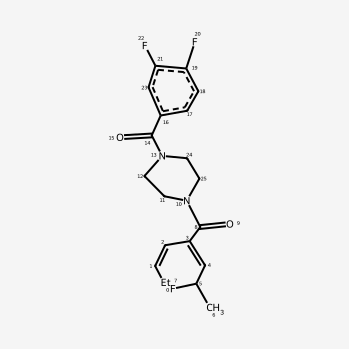 CC/C=C\C(=C/C(C)F)C(=O)N1CCN(C(=O)c2ccc(F)c(F)c2)CC1